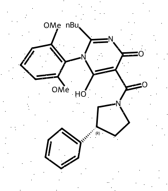 CCCCc1nc(=O)c(C(=O)N2CC[C@H](c3ccccc3)C2)c(O)n1-c1c(OC)cccc1OC